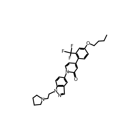 CCCCOc1ccc(-c2ccn(-c3ccc4c(cnn4CCN4CCCC4)c3)c(=O)c2)c(C(F)(F)F)c1